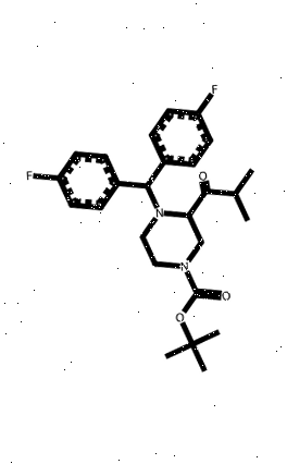 CC(C)C(=O)C1CN(C(=O)OC(C)(C)C)CCN1C(c1ccc(F)cc1)c1ccc(F)cc1